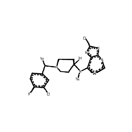 [2H]C(c1ccc(F)c(Cl)c1)N1CCC([2H])(N([2H])c2ncnc3sc(Cl)nc23)CC1